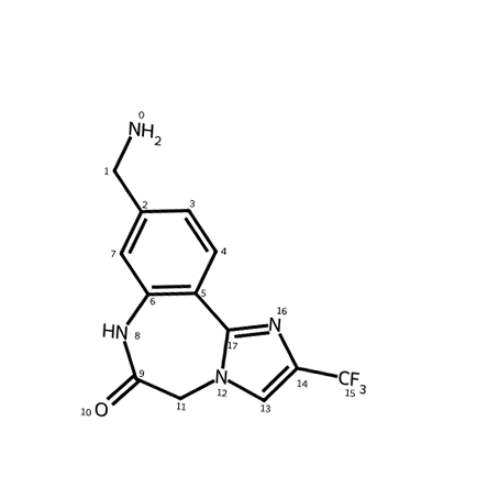 NCc1ccc2c(c1)NC(=O)Cn1cc(C(F)(F)F)nc1-2